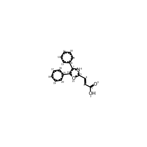 O=C(O)C=Cc1nc(-c2ccccc2)c(-c2ccccc2)o1